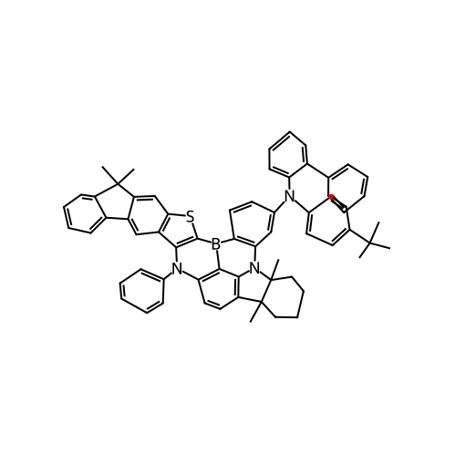 CC(C)(C)c1ccc(N(c2ccc3c(c2)N2c4c(ccc5c4B3c3sc4cc6c(cc4c3N5c3ccccc3)-c3ccccc3C6(C)C)C3(C)CCCCC23C)c2ccccc2-c2ccccc2)cc1